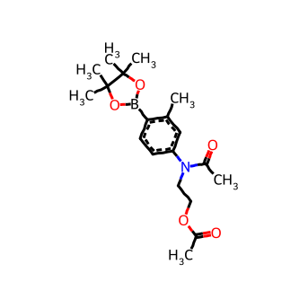 CC(=O)OCCN(C(C)=O)c1ccc(B2OC(C)(C)C(C)(C)O2)c(C)c1